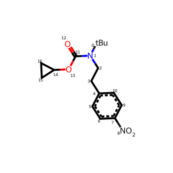 CC(C)(C)N(CCc1ccc([N+](=O)[O-])cc1)C(=O)OC1CC1